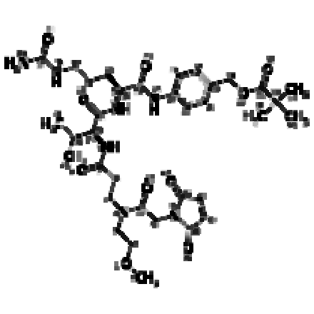 COCCN(CCC(=O)N[C@H](C(=O)N[C@@H](CCCNC(N)=O)C(=O)Nc1ccc(COC(=O)C(C)(C)C)cc1)C(C)C)C(=O)CN1C(=O)C=CC1=O